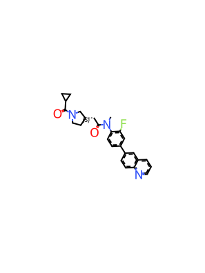 CN(C(=O)C[C@@H]1CCN(C(=O)C2CC2)C1)c1ccc(-c2ccc3ncccc3c2)cc1F